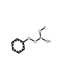 OP(OF)OOc1ccccc1